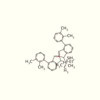 C[CH2][Hf]([CH3])([CH3])([CH3])(=[SiH2])([CH]1C=Cc2c(-c3cccc(C)c3C)cccc21)[CH]1C=Cc2c(-c3cccc(C)c3C)cccc21